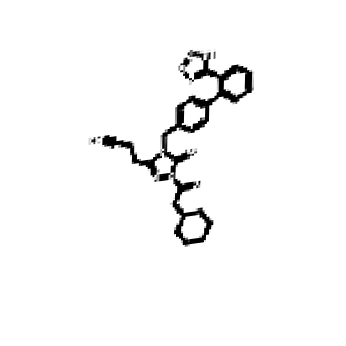 C#CCCc1nn(C(=O)CC2CCCCC2)c(=O)n1Cc1ccc(-c2ccccc2-c2nnn[nH]2)cc1